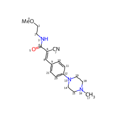 COCCNC(=O)/C(C#N)=C/c1ccc(N2CCN(C)CC2)cc1